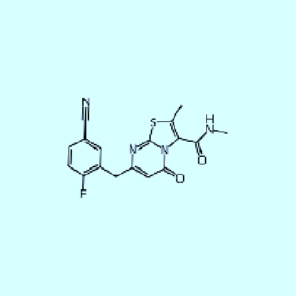 CNC(=O)c1c(C)sc2nc(Cc3cc(C#N)ccc3F)cc(=O)n12